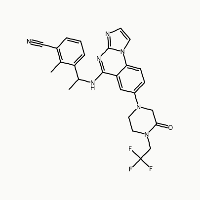 Cc1c(C#N)cccc1C(C)Nc1nc2nccn2c2ccc(N3CCN(CC(F)(F)F)C(=O)C3)cc12